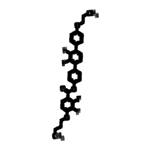 CCCCOc1ccc(C(=O)Oc2ccc(-c3ccc(-c4ccc(OCCC)cc4)c(F)c3F)cc2)c(F)c1F